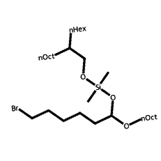 CCCCCCCCOC(CCCCCBr)O[Si](C)(C)OCC(CCCCCC)CCCCCCCC